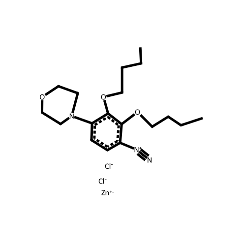 CCCCOc1c([N+]#N)ccc(N2CCOCC2)c1OCCCC.[Cl-].[Cl-].[Zn+]